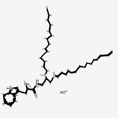 CCCCCCCCCCCCCCOCC(CNC(=O)C(N)Cc1c[nH]c2ccccc12)OCCCCCCCCCCCCCC.Cl